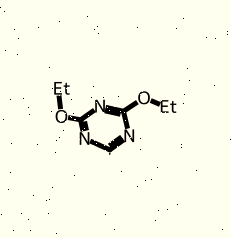 CCOc1n[c]nc(OCC)n1